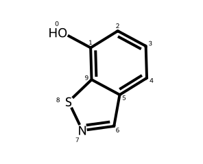 Oc1cccc2cnsc12